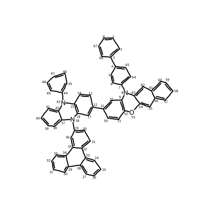 c1ccc(-c2ccc(N3c4cc(-c5ccc6c(c5)N(c5ccc7c8ccccc8c8ccccc8c7c5)c5ccccc5N6c5ccccc5)ccc4Oc4cc5ccccc5cc43)cc2)cc1